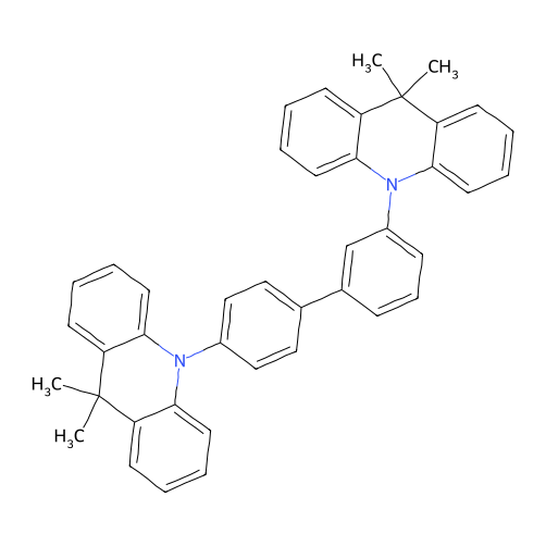 CC1(C)c2ccccc2N(c2ccc(-c3cccc(N4c5ccccc5C(C)(C)c5ccccc54)c3)cc2)c2ccccc21